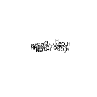 N[C@@](CC(=O)O)(NC(=O)CCCNC(=O)[C@H]1O[C@@H](N2CCC(=O)NC2=O)[C@@H](O)[C@H]1O)C(=O)O